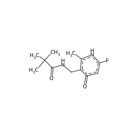 Cc1[nH]c(F)cc(=O)c1CNC(=O)C(C)(C)C